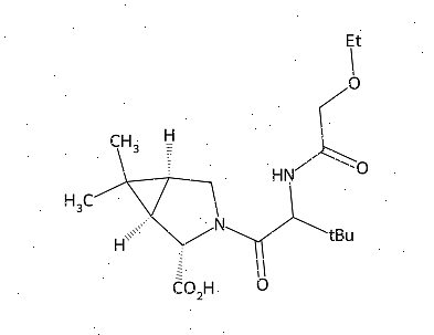 CCOCC(=O)NC(C(=O)N1C[C@H]2[C@@H]([C@H]1C(=O)O)C2(C)C)C(C)(C)C